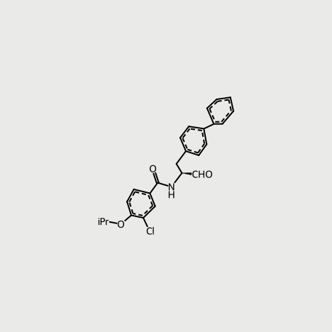 CC(C)Oc1ccc(C(=O)N[C@H](C=O)Cc2ccc(-c3ccccc3)cc2)cc1Cl